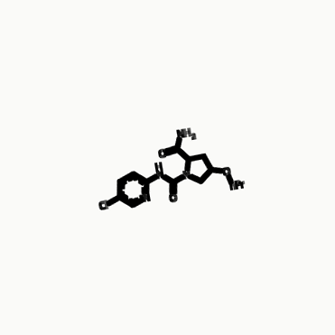 CCCOC1CC(C(N)=O)N(C(=O)Nc2ccc(Cl)cn2)C1